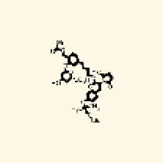 CC(C)(C)OCC(C)(C)Oc1ccc(CC(C(=O)NCCCCc2ccc(COC(=O)C(C)(C)C)c(O[C@H]3CC(O)C[C@@H](C(=O)O)O3)c2)N2C(=O)C=CC2=O)cc1